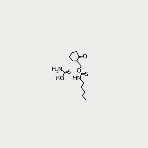 CCCCCNC(=S)OCC1CCCCC1=O.NC(O)=S